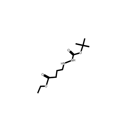 CCOC(=O)CCCNNC(=O)OC(C)(C)C